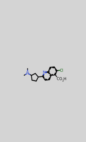 CN(C)C1CCC(c2ccc3c(C(=O)O)c(Cl)ccc3n2)C1